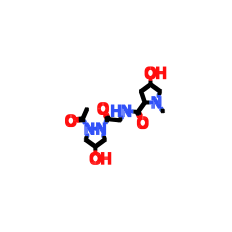 CC(=O)N1CC(O)CN1C(=O)CNC(=O)C1CC(O)CN1C